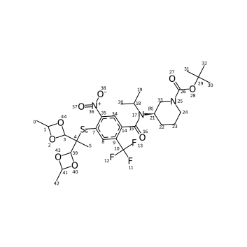 CC1OC(C(C)(Sc2cc(C(F)(F)F)c(C(=O)N(C(C)C)[C@@H]3CCCN(C(=O)OC(C)(C)C)C3)cc2[N+](=O)[O-])C2OC(C)O2)O1